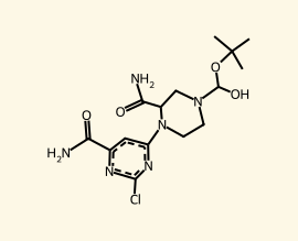 CC(C)(C)OC(O)N1CCN(c2cc(C(N)=O)nc(Cl)n2)C(C(N)=O)C1